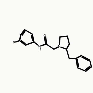 O=C(CN1CCCC1Cc1ccccc1)Nc1cccc(F)c1